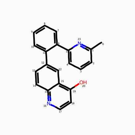 Cc1cccc(-c2ccccc2-c2ccc3nccc(O)c3c2)n1